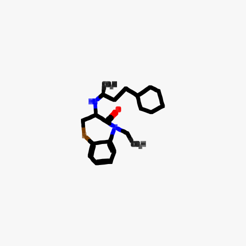 O=C(O)CN1C(=O)C(N[C@H](CCC2CCCCC2)C(=O)O)CSc2ccccc21